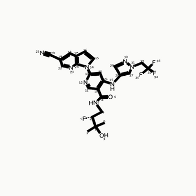 CC(C)(O)[C@H](F)CNC(=O)c1cnc(-n2ccc3cc(C#N)cnc32)cc1Nc1cnn(CC(F)(F)F)c1